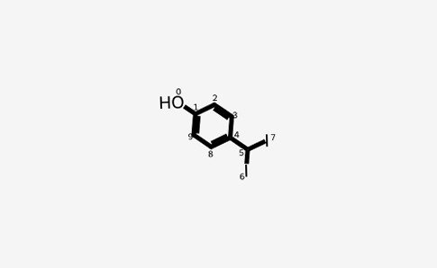 Oc1ccc(C(I)I)cc1